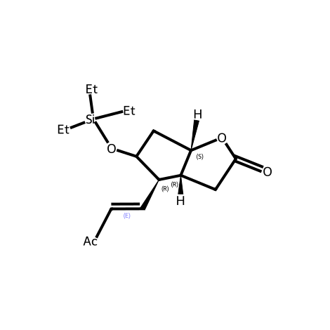 CC[Si](CC)(CC)OC1C[C@@H]2OC(=O)C[C@@H]2[C@H]1/C=C/C(C)=O